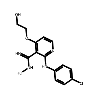 N=C(NO)c1c(OCCO)ccnc1Nc1ccc(Cl)cc1